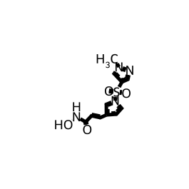 Cn1cc(S(=O)(=O)n2ccc(C=CC(=O)NO)c2)cn1